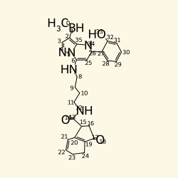 CBc1cnn2c(NCCCCNC(=O)C3CC(=O)C4=C3C=CCC4)cc(-c3ccccc3O)nc12